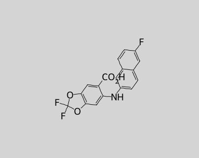 O=C(O)c1cc2c(cc1Nc1ccc3cc(F)ccc3c1)OC(F)(F)O2